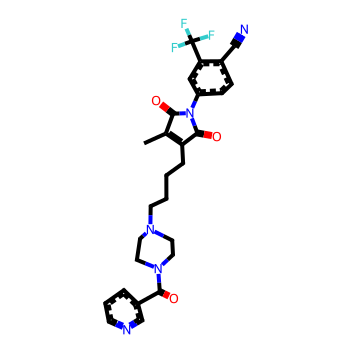 CC1=C(CCCCN2CCN(C(=O)c3cccnc3)CC2)C(=O)N(c2ccc(C#N)c(C(F)(F)F)c2)C1=O